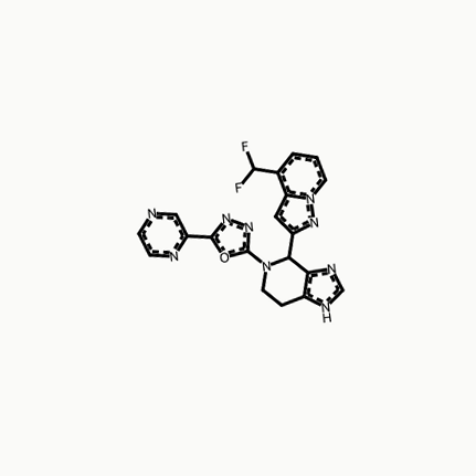 FC(F)c1cccn2nc(C3c4nc[nH]c4CCN3c3nnc(-c4cnccn4)o3)cc12